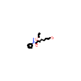 C=CCOC(CCCCCC=O)C(=O)Nc1ccccc1